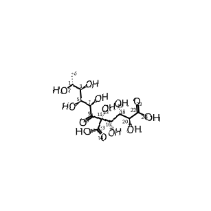 C[C@@H](O)[C@@H](O)[C@H](O)[C@@H](O)C(=O)[C@](O)(C(=O)O)[C@@H](O)[C@H](O)[C@H](O)C(=O)O